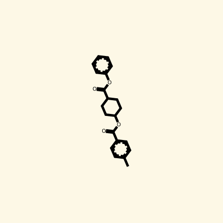 Cc1ccc(C(=O)OC2CCC(C(=O)Oc3ccccc3)CC2)cc1